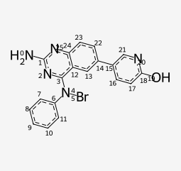 Nc1nc(N(Br)c2ccccc2)c2cc(-c3ccc(O)nc3)ccc2n1